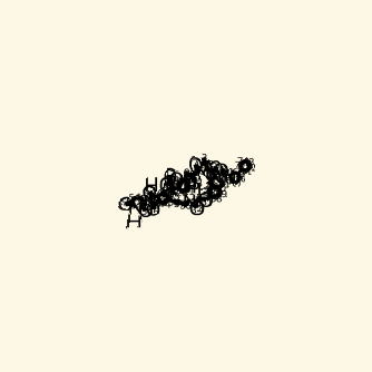 CC(C)(C)[C@H](NC(=O)c1cc2cc(C(F)(F)P(=O)(O)O)ccc2s1)C(=O)N1Cc2cc(OCC(=O)NCC#Cc3ccc4c(c3)C(=O)N(C3CCC(=O)NC3=O)C4=O)ccc2C[C@H]1C(=O)N1CCCC(c2ccccc2)C1